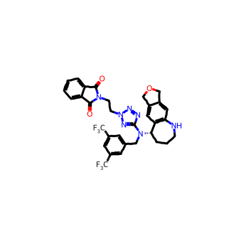 O=C1c2ccccc2C(=O)N1CCn1nnc(N(Cc2cc(C(F)(F)F)cc(C(F)(F)F)c2)[C@H]2CCCNc3cc4c(cc32)COC4)n1